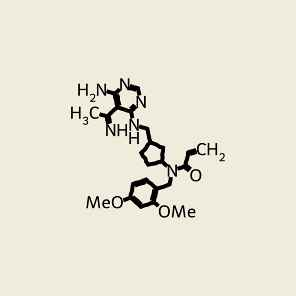 C=CC(=O)N(Cc1ccc(OC)cc1OC)C1CCC(CNc2ncnc(N)c2C(C)=N)C1